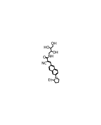 CCC1CCCN1c1ccc2cc(/C=C(\C#N)C(=O)NCC(O)C(O)CO)ccc2c1